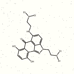 CCN(CC)CCNc1ccc2c3c(nn2CCN(CC)CC)-c2c(O)ccc(O)c2C(=O)c13